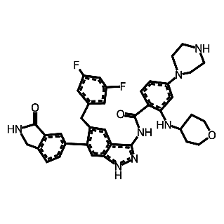 O=C1NCc2ccc(-c3cc4[nH]nc(NC(=O)c5ccc(N6CCNCC6)cc5NC5CCOCC5)c4cc3Cc3cc(F)cc(F)c3)cc21